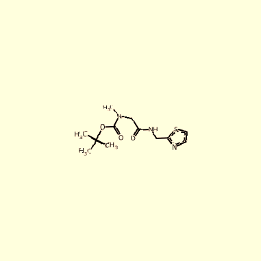 CN(CC(=O)NCc1nccs1)C(=O)OC(C)(C)C